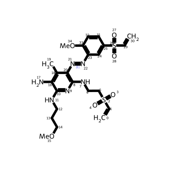 C=CS(=O)(=O)CCNc1nc(NCCCOC)c(N)c(C)c1/N=N/c1cc(S(=O)(=O)C=C)ccc1OC